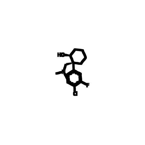 CN(C)C[C@@]1(c2ccc(Cl)c(F)c2)CCCC[C@@H]1O